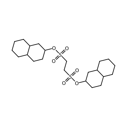 O=S(=O)(CCS(=O)(=O)OC1CCC2CCCCC2C1)OC1CCC2CCCCC2C1